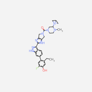 CCc1cc(O)c(F)cc1-c1ccc2c(-c3nc4c([nH]3)CN(C(=O)N3CCN(C)C([N+]56CC5C6)C3)C4)n[nH]c2c1